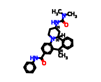 C[C@@H]1c2ccccc2[C@H]2C[C@H](NC(=O)N(C)C)CCN2c2ccc(C(=O)Nc3ccccc3)cc21